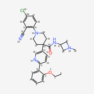 CCOc1ccccc1-c1ccc(C2(C(=O)NC3CN(C)C3)CCN(c3ccc(Cl)cc3C#N)CC2)cn1